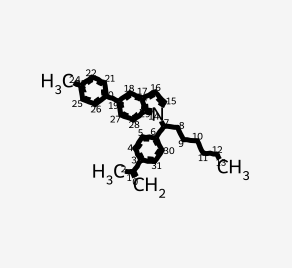 C=C(C)c1ccc(C(CCCCCC)n2ccc3cc(-c4ccc(C)cc4)ccc32)cc1